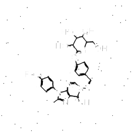 Cc1nc2c(=N)n(/N=C\c3ccc(OC4OC(CO)C(O)C(O)C4O)cc3)cnc2n1-c1ccc(C(F)(F)F)cc1